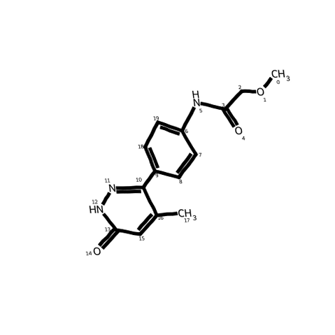 COCC(=O)Nc1ccc(-c2n[nH]c(=O)cc2C)cc1